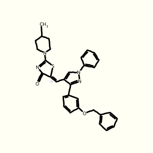 CC1CCN(C2=NC(=O)/C(=C/c3cn(-c4ccccc4)nc3-c3cccc(OCc4ccccc4)c3)S2)CC1